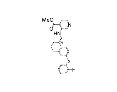 COC(=O)c1ccncc1NC[C@@H]1CCCc2cc(Sc3ccccc3F)ccc21